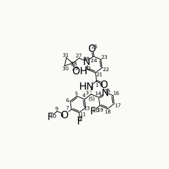 O=C(N[C@@H](c1ccc(OCF)c(F)c1)c1ncccc1F)c1ccc(=O)n(CC2(O)CC2)c1